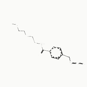 [N-]=[N+]=NCc1ccc(C(=O)NCCOCCNC(=O)O)cc1